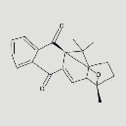 CC1(C)C2CC[C@@]3(C)O[C@@]14C(=O)c1ccccc1C(=O)C4=CC23